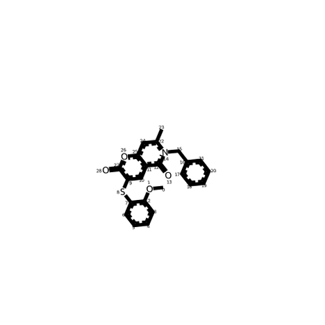 COc1ccccc1Sc1cc2c(=O)n(Cc3ccccc3)c(C)cc2oc1=O